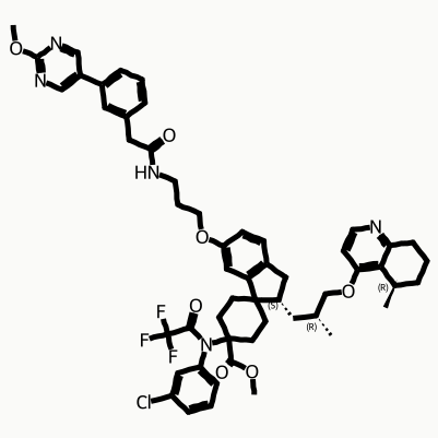 COC(=O)C1(N(C(=O)C(F)(F)F)c2cccc(Cl)c2)CCC2(CC1)c1cc(OCCCNC(=O)Cc3cccc(-c4cnc(OC)nc4)c3)ccc1C[C@@H]2C[C@@H](C)COc1ccnc2c1[C@H](C)CCC2